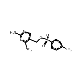 Cc1ccc(S(=O)(=O)OCc2cnc(N)nc2N)cc1